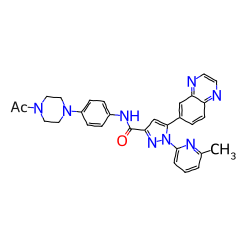 CC(=O)N1CCN(c2ccc(NC(=O)c3cc(-c4ccc5nccnc5c4)n(-c4cccc(C)n4)n3)cc2)CC1